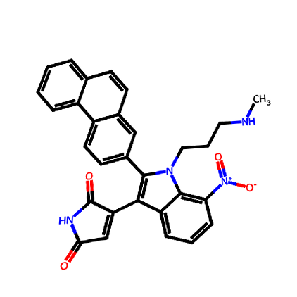 CNCCCn1c(-c2ccc3c(ccc4ccccc43)c2)c(C2=CC(=O)NC2=O)c2cccc([N+](=O)[O-])c21